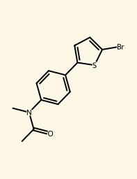 CC(=O)N(C)c1ccc(-c2ccc(Br)s2)cc1